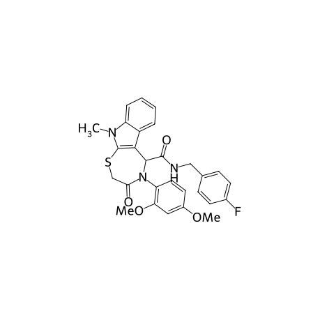 COc1ccc(N2C(=O)CSc3c(c4ccccc4n3C)C2C(=O)NCc2ccc(F)cc2)c(OC)c1